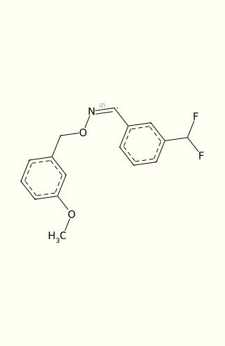 COc1cccc(CO/N=[C]\c2cccc(C(F)F)c2)c1